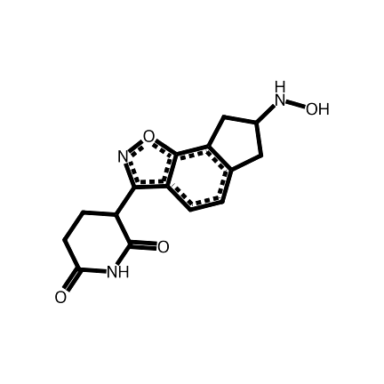 O=C1CCC(c2noc3c4c(ccc23)CC(NO)C4)C(=O)N1